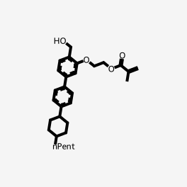 C=C(C)C(=O)OCCOc1cc(-c2ccc(C3CCC(CCCCC)CC3)cc2)ccc1CO